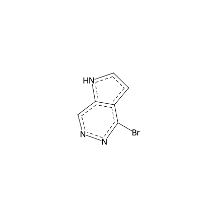 Brc1nncc2[nH]ccc12